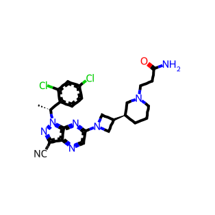 C[C@H](c1ccc(Cl)cc1Cl)n1nc(C#N)c2ncc(N3CC([C@@H]4CCCN(CCC(N)=O)C4)C3)nc21